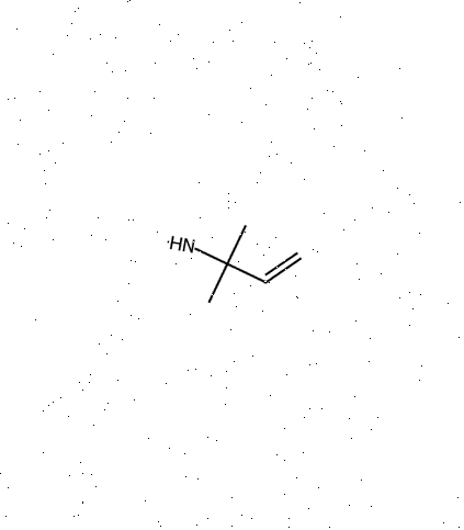 C=CC(C)(C)[NH]